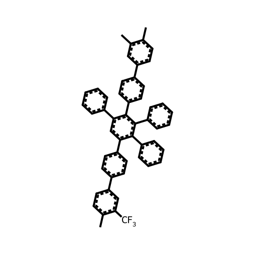 Cc1ccc(-c2ccc(-c3c(-c4ccccc4)cc(-c4ccc(-c5ccc(C)c(C(F)(F)F)c5)cc4)c(-c4ccccc4)c3-c3ccccc3)cc2)cc1C